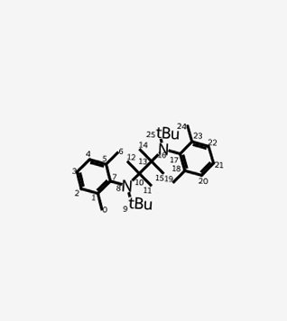 Cc1cccc(C)c1N(C(C)(C)C)C(C)(C)C(C)(C)N(c1c(C)cccc1C)C(C)(C)C